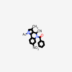 CC(=O)n1cc(C)c2c1-c1ccc([N+](=O)[O-])cc1N(C(=O)c1ccccc1)C2C#N